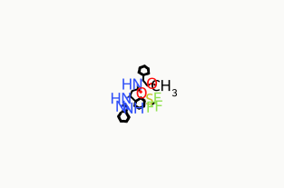 COCC(NC(=O)CC(Nc1nc2ccccc2[nH]1)c1cccc(SC(F)(F)F)c1)c1ccccc1